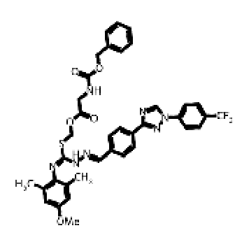 COc1cc(C)c(/N=C(\N/N=C/c2ccc(-c3ncn(-c4ccc(C(F)(F)F)cc4)n3)cc2)SCOC(=O)CNC(=O)OCc2ccccc2)c(C)c1